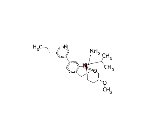 CCCc1cncc(-c2ccc3c(c2)C2(N=C(N)N(C(C)C)C2=O)C2(CCC(OC)CC2)C3)c1